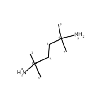 CC(C)(N)CCC(C)(C)N